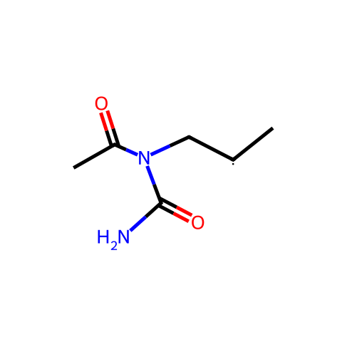 C[CH]CN(C(C)=O)C(N)=O